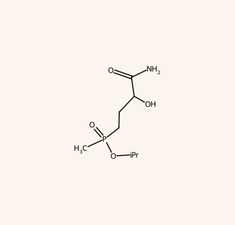 CC(C)OP(C)(=O)CCC(O)C(N)=O